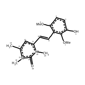 COc1ccc(O)c(OC)c1C=Cc1cc(C)n(C)c(=O)[n+]1C